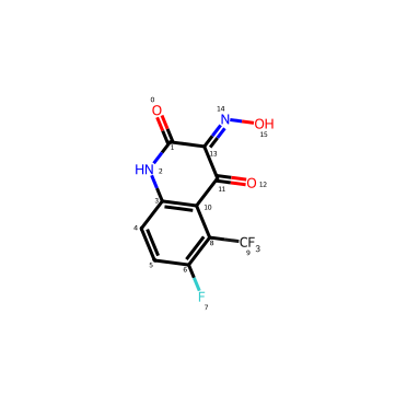 O=C1Nc2ccc(F)c(C(F)(F)F)c2C(=O)C1=NO